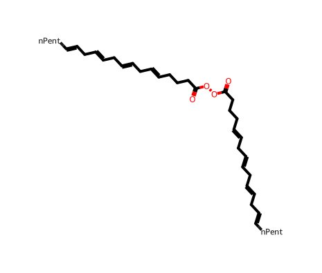 CCCCCC=CCC=CCC=CCC=CCCCC(=O)OOC(=O)CCCC=CCC=CCC=CCC=CCCCCC